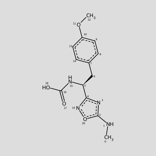 CNc1nc([C@H](Cc2ccc(OC)cc2)NC(=O)O)no1